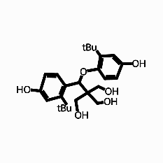 CC(C)(C)c1cc(O)ccc1OC(c1ccc(O)cc1C(C)(C)C)C(CO)(CO)CO